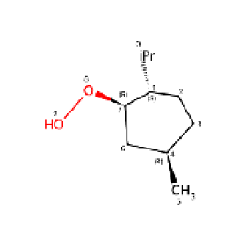 CC(C)[C@@H]1CC[C@@H](C)C[C@H]1OO